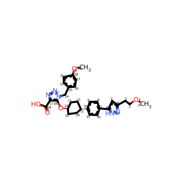 COCCc1cc(-c2ccc([C@H]3CC[C@H](Oc4c(C(=O)O)nnn4Cc4ccc(OC)cc4)CC3)cc2)[nH]n1